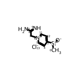 C[S+]([O-])c1cc[n+](CC(=N)N)cc1.[Cl-]